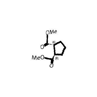 COC(=O)[C@@H]1CCC[C@H]1C(=O)OC